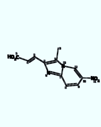 Cc1c(/C=C/C(=O)O)nc2ccc([N+](=O)[O-])cn12